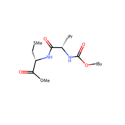 COC(=O)[C@H](CSC)NC(=O)[C@@H](NC(=O)OC(C)(C)C)C(C)C